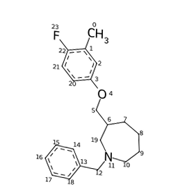 Cc1cc(OCC2CCCCN(Cc3ccccc3)C2)ccc1F